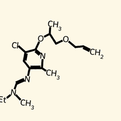 C=CCOCC(C)Oc1nc(C)c(/N=C/N(C)CC)cc1Cl